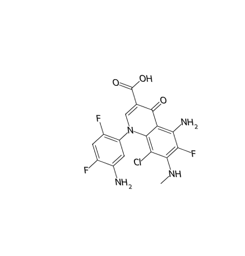 CNc1c(F)c(N)c2c(=O)c(C(=O)O)cn(-c3cc(N)c(F)cc3F)c2c1Cl